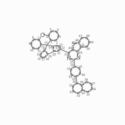 c1ccc2c(c1)Oc1ccccc1C21c2ccccc2-c2cc(-c3nc(-c4ccc(-c5cccc6ccccc56)cc4)nc4c3sc3ccccc34)ccc21